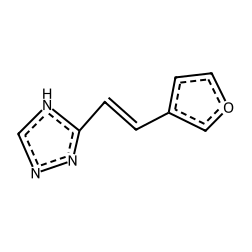 C(=C\c1nnc[nH]1)/c1ccoc1